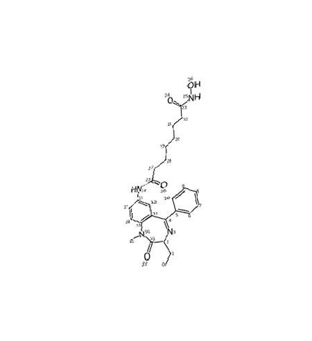 CCC1N=C(c2ccccc2)c2cc(NC(=O)CCCCCCC(=O)NO)ccc2N(C)C1=O